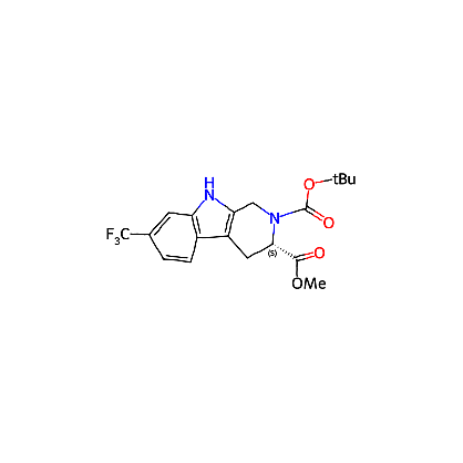 COC(=O)[C@@H]1Cc2c([nH]c3cc(C(F)(F)F)ccc23)CN1C(=O)OC(C)(C)C